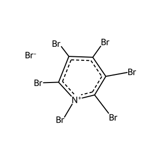 Brc1c(Br)c(Br)[n+](Br)c(Br)c1Br.[Br-]